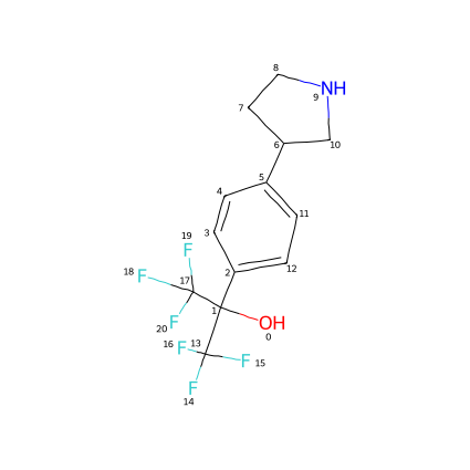 OC(c1ccc(C2CCNC2)cc1)(C(F)(F)F)C(F)(F)F